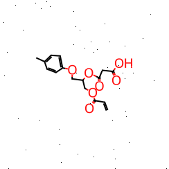 C=CC(=O)OCC(COc1ccc(C)cc1)OC(=O)CC(=O)O